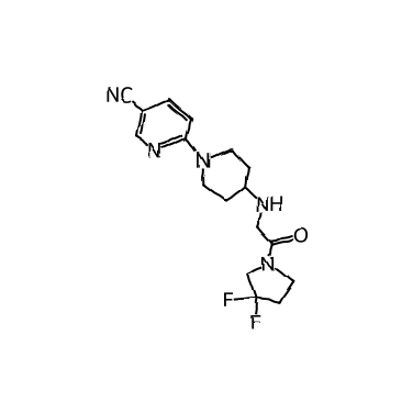 N#Cc1ccc(N2CCC(NCC(=O)N3CCC(F)(F)C3)CC2)nc1